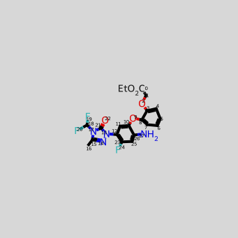 CCOC(=O)COc1ccccc1Oc1cc(-n2nc(C)n(C(F)F)c2=O)c(F)cc1N